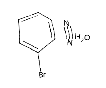 Brc1ccccc1.N#N.O